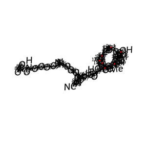 C=C1C[C@@H]2CC[C@]34C[C@@H](O)[C@H](O3)[C@H]3C[C@@H](O4)[C@H]4O[C@H](CC[C@@H]4O3)CC(=O)C[C@@H]3[C@@H](OC)[C@@H](C[C@H](O)CNC(=O)OCc4ccc(N(CCOCCOCCOCCn5cc(COCCOCCOCCOCCNC(=O)CCN6C(=O)C=CC6=O)nn5)S(=O)(=O)c5ccc(C#N)cn5)cc4)O[C@H]3C[C@H]3O[C@@H](CC[C@@H]1O2)C[C@@H](C)C3=C